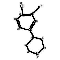 Fc1cc(C2CC[N]CC2)ccc1Cl